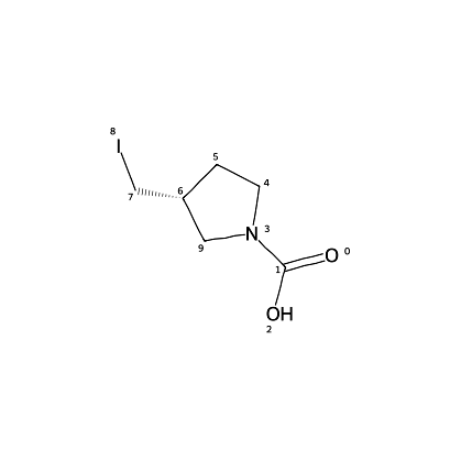 O=C(O)N1CC[C@@H](CI)C1